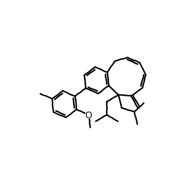 C=C1/C=C\C=C/Cc2ccc(-c3cc(C)ccc3OC)cc2C1(CC(C)C)CC(C)C